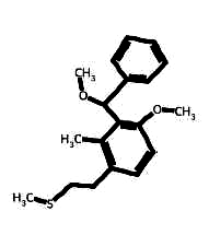 COc1[c]cc(CCSC)c(C)c1C(OC)c1ccccc1